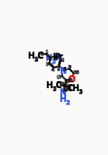 C\C=C(/C=C\C(=C/N)N1CCOC(C(C)(C)N)C1)C(C)C